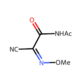 CO/N=C(/C#N)C(=O)NC(C)=O